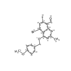 COc1ccc(COc2nc(C)nc3c(C=O)c(F)cc(Br)c23)cc1